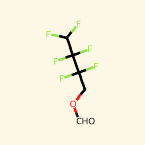 O=COCC(F)(F)C(F)(F)C(F)F